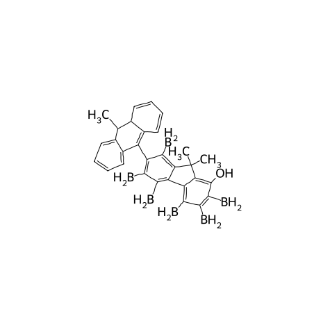 Bc1c(B)c(O)c2c(c1B)-c1c(B)c(B)c(C3=C4C=CC=CC4C(C)c4ccccc43)c(B)c1C2(C)C